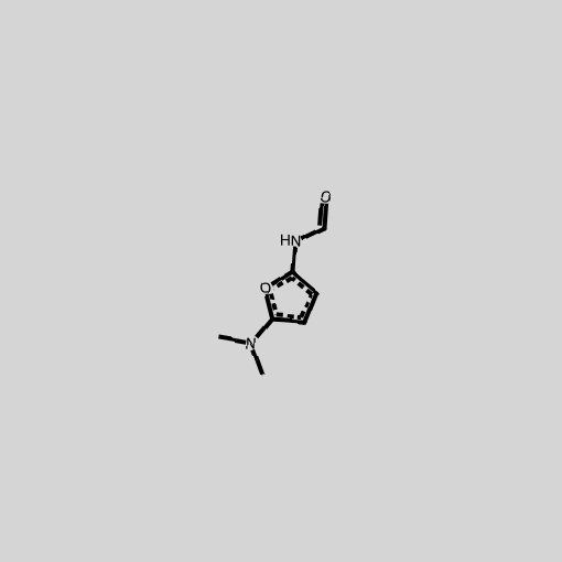 CN(C)c1ccc(NC=O)o1